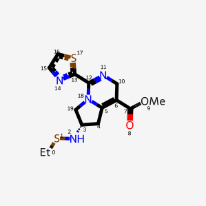 CCSN[C@H]1CC2=C(C(=O)OC)CN=C(c3nccs3)N2C1